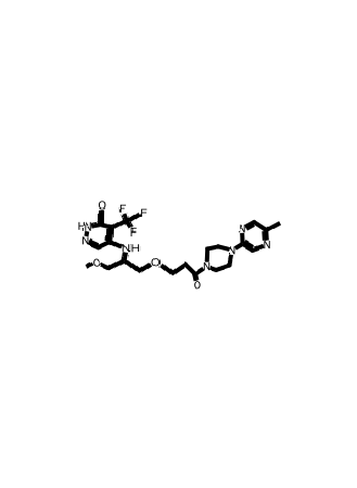 COCC(COCCC(=O)N1CCN(c2cnc(C)cn2)CC1)Nc1cn[nH]c(=O)c1C(F)(F)F